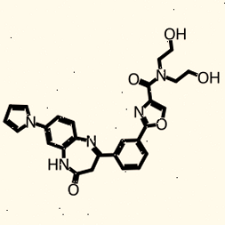 O=C1CC(c2cccc(-c3nc(C(=O)N(CCO)CCO)co3)c2)=Nc2ccc(-n3cccc3)cc2N1